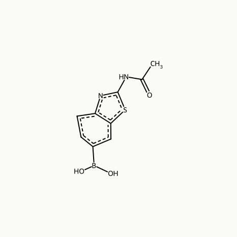 CC(=O)Nc1nc2ccc(B(O)O)cc2s1